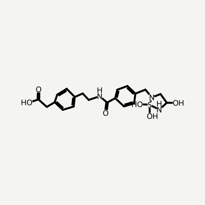 O=C(O)Cc1ccc(CCNC(=O)c2ccc(CN3CC(O)NS3(O)O)cc2)cc1